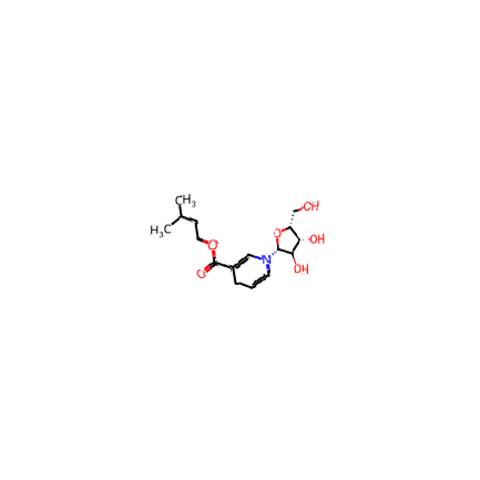 CC(C)CCOC(=O)C1=CN([C@@H]2O[C@H](CO)[C@H](O)C2O)C=CC1